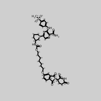 CS(=O)(=O)c1ccc(Nc2nc(N3CCCC(NC(=O)OCCCCCCCOc4ccc5c(c4)C(=O)N(C4CCC(=O)NC4=O)C5=O)C3)cnc2C(N)=O)cc1